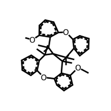 COc1cccc2c1C(C)(C)C1(C(C)(C)c3ccccc3O2)C(C)(C)c2ccccc2Oc2cccc(OC)c2C1(C)C